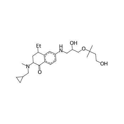 CCC1CC(N(C)CC2CC2)C(=O)c2ccc(NCC(O)COC(C)(C)CCO)cc21